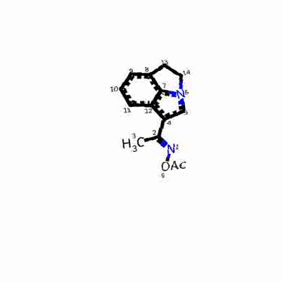 CC(=O)O/N=C(\C)c1cn2c3c(cccc13)CC2